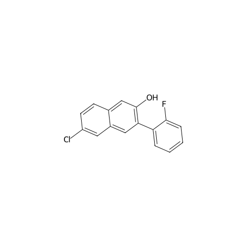 Oc1cc2ccc(Cl)cc2cc1-c1ccccc1F